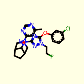 Cc1cc(N2CC3CCC(C2)C3Nc2nc(Oc3cccc(Cl)c3)n(CCF)n2)ncn1